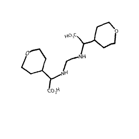 O=C(O)C(NCNC(C(=O)O)C1CCOCC1)C1CCOCC1